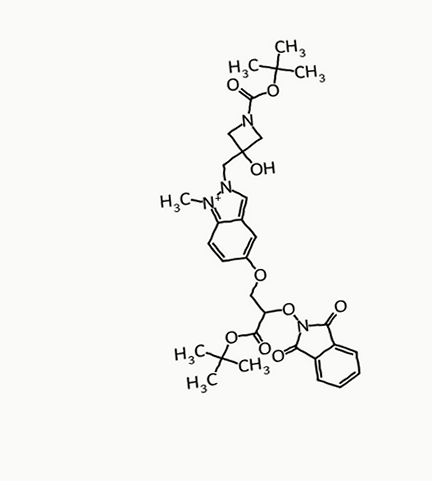 C[n+]1c2ccc(OCC(ON3C(=O)c4ccccc4C3=O)C(=O)OC(C)(C)C)cc2cn1CC1(O)CN(C(=O)OC(C)(C)C)C1